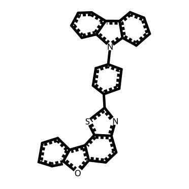 c1ccc2c(c1)oc1ccc3nc(-c4ccc(-n5c6ccccc6c6ccccc65)cc4)sc3c12